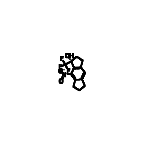 O=[N+]([O-])c1c2c(cc3c1[C@@](O)(C(F)(F)F)CC3)CCC2